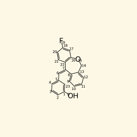 Oc1cccc(/C=C2\c3ccccc3COc3cc(F)ccc32)c1